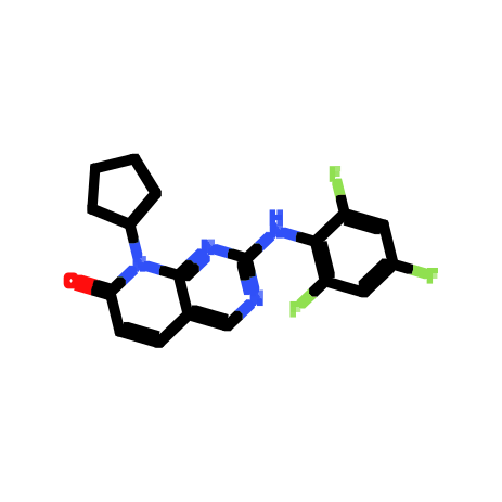 O=c1ccc2cnc(Nc3c(F)cc(F)cc3F)nc2n1C1CCCC1